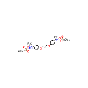 CCCCCCCCS(=O)(=O)O/N=C(/c1ccc(OCCCOc2ccc(/C(=N/OS(=O)(=O)CCCCCCCC)C(F)(F)F)cc2)cc1)C(F)(F)F